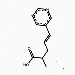 CC(CC=Cc1cccnc1)C(=O)O